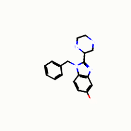 Oc1ccc2c(c1)nc(C1CNCCN1)n2Cc1ccccc1